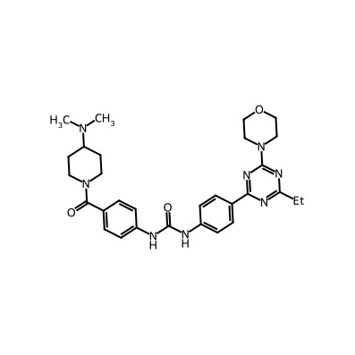 CCc1nc(-c2ccc(NC(=O)Nc3ccc(C(=O)N4CCC(N(C)C)CC4)cc3)cc2)nc(N2CCOCC2)n1